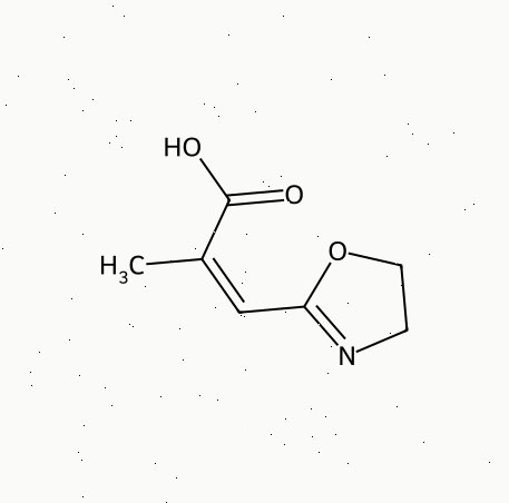 CC(=CC1=NCCO1)C(=O)O